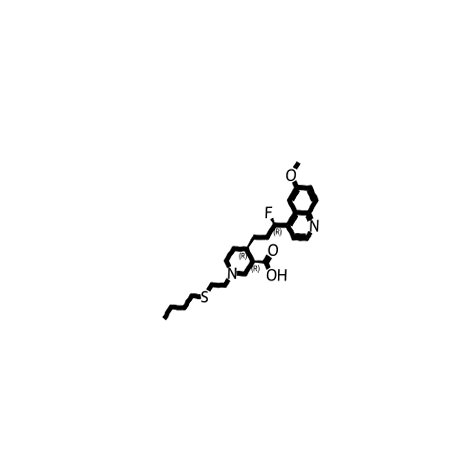 CCCCSCCN1CC[C@@H](CC[C@@H](F)c2ccnc3ccc(OC)cc23)[C@@H](C(=O)O)C1